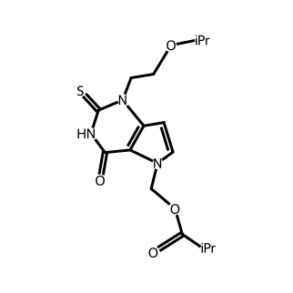 CC(C)OCCn1c(=S)[nH]c(=O)c2c1ccn2COC(=O)C(C)C